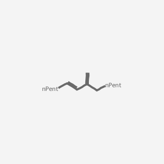 C=C(/C=C/CCCCC)CCCCCC